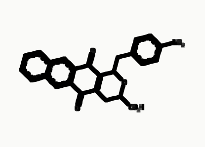 O=C1C2=C(C(=O)c3cc4ccccc4cc31)C(Cc1ccc([N+](=O)[O-])cc1)OC(C(=O)O)C2